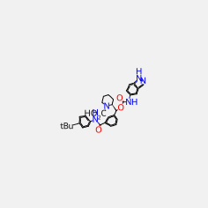 CC(C)(C)c1ccc(NC(=O)c2cccc(C(OC(=O)Nc3ccc4[nH]ncc4c3)[C@@H]3CCCCN3C(=O)O)c2)cc1